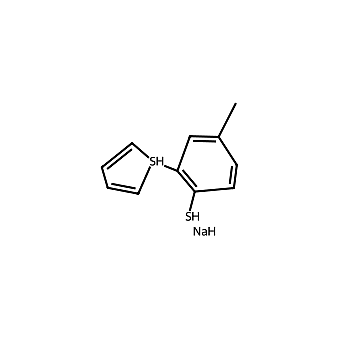 Cc1ccc(S)c([SH]2C=CC=C2)c1.[NaH]